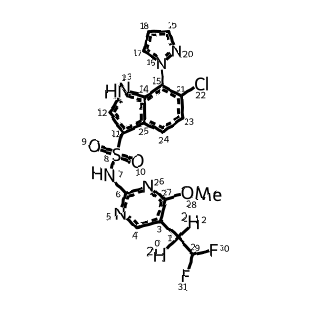 [2H]C([2H])(c1cnc(NS(=O)(=O)c2c[nH]c3c(-n4cccn4)c(Cl)ccc23)nc1OC)C(F)F